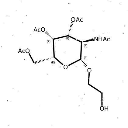 CC(=O)N[C@H]1[C@H](OCCO)O[C@H](COC(C)=O)[C@H](OC(C)=O)[C@@H]1OC(C)=O